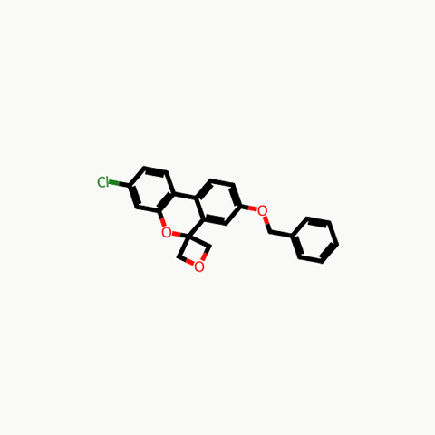 Clc1ccc2c(c1)OC1(COC1)c1cc(OCc3ccccc3)ccc1-2